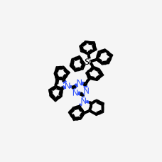 C1=CC2c3ccccc3N(c3nc(-c4cccc([Si](c5ccccc5)(c5ccccc5)c5ccccc5)c4)nc(-n4c5ccccc5c5ccccc54)n3)C2C=C1